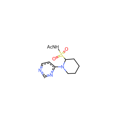 CC(=O)NS(=O)(=O)C1CCCCN1c1ccn[c]n1